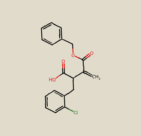 C=C(C(=O)OCc1ccccc1)C(Cc1ccccc1Cl)C(=O)O